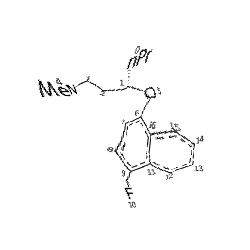 CCC[C@@H](CCNC)Oc1ccc(F)c2ccccc12